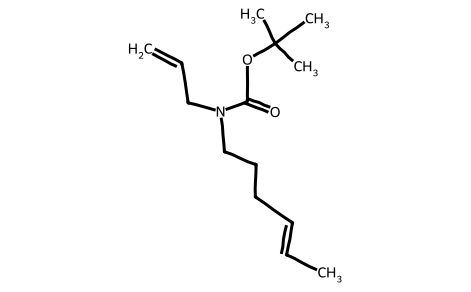 C=CCN(CCC/C=C/C)C(=O)OC(C)(C)C